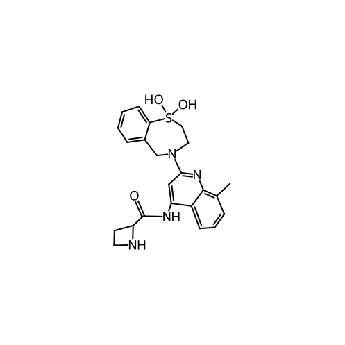 Cc1cccc2c(NC(=O)C3CCN3)cc(N3CCS(O)(O)c4ccccc4C3)nc12